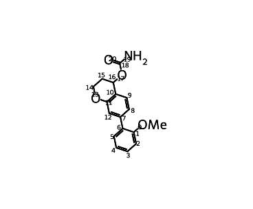 COc1ccccc1-c1ccc2c(c1)OCCC2OC(N)=O